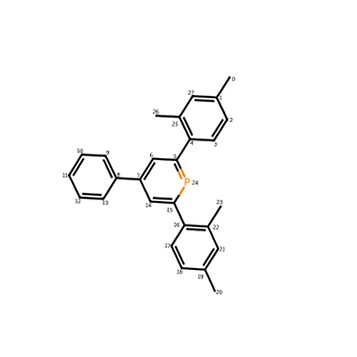 Cc1ccc(-c2cc(-c3ccccc3)cc(-c3ccc(C)cc3C)p2)c(C)c1